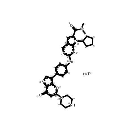 CN(C)C(=O)c1cc2cnc(Nc3ccc(-c4csc5c(=O)cc(N6CCNCC6)oc45)cc3)nc2n1C1CCCC1.Cl